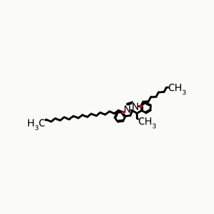 CCCCCCCCCCCCCCCCCCCN1C=CN(CCCCCCCCC)C1(Cc1ccccc1)C(CC)c1ccccc1